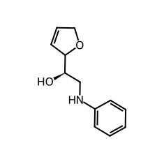 O[C@H](CNc1ccccc1)C1C=CCO1